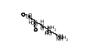 N=C(N)NCCCCC(O)CC(=O)C(N)CCC(=O)NCCCCN(CCCNC(=O)OCc1ccccc1)C(=O)OCc1ccccc1